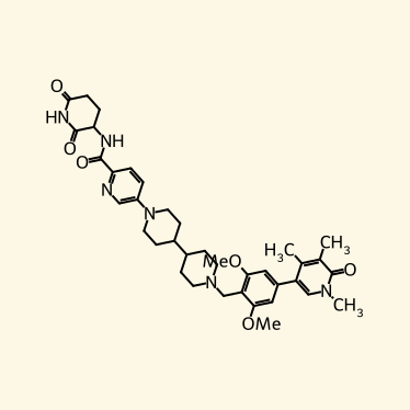 COc1cc(-c2cn(C)c(=O)c(C)c2C)cc(OC)c1CN1CCC(C2CCN(c3ccc(C(=O)NC4CCC(=O)NC4=O)nc3)CC2)CC1